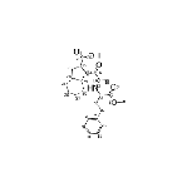 COC(=O)C(CCc1ccccc1)NC(C)C(=O)N1C(C(=O)O)CC2CCCCC21